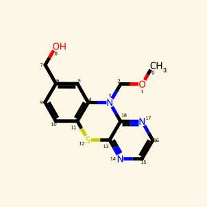 COCN1c2cc(CO)ccc2Sc2nccnc21